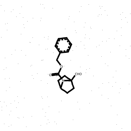 O=CC12CCC(CC1)N2C(=O)OCc1ccccc1